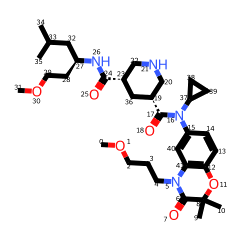 COCCCN1C(=O)C(C)(C)Oc2ccc(N(C(=O)[C@H]3CNC[C@@H](C(=O)N[C@@H](CCOC)CC(C)C)C3)C3CC3)cc21